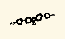 CC[C@H]1CC[C@H](C2CCC3(CC2)CC2(CCC([C@H]4CC[C@H](C)CC4)CC2)C3=O)CC1